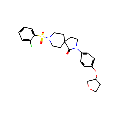 O=C1N(c2ccc(OC3CCOC3)cc2)CCC12CCN(S(=O)(=O)c1ccccc1Cl)CC2